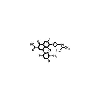 CC(C)NC1CN(c2c(F)cc3c(=O)c(C(=O)O)cn(-c4nc(N)c(F)cc4F)c3c2Cl)C1